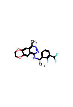 Cc1nnc(N[C@H](C)c2cccc(C(F)F)c2F)c2cc3c(cc12)OCCO3